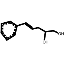 OCC(O)CC=Cc1ccccc1